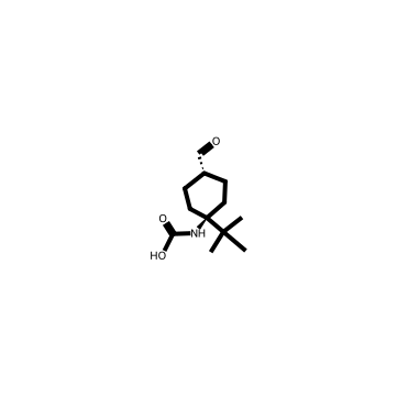 CC(C)(C)[C@]1(NC(=O)O)CC[C@H](C=O)CC1